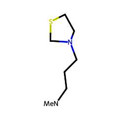 CNCCCN1CCSC1